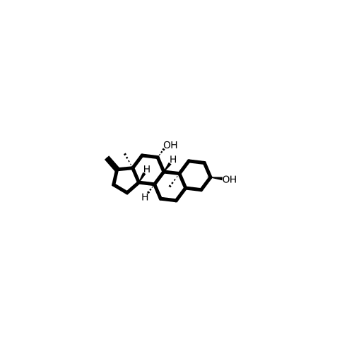 C=C1CC[C@H]2[C@@H]3CCC4C[C@H](O)CC[C@]4(C)[C@H]3[C@@H](O)C[C@]12C